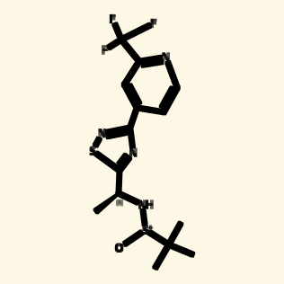 C[C@H](N[S+]([O-])C(C)(C)C)c1nc(-c2ccnc(C(F)(F)F)c2)ns1